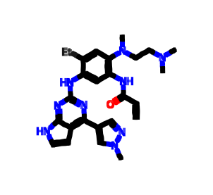 C=CC(=O)Nc1cc(Nc2nc(-c3cnn(C)c3)c3cc[nH]c3n2)c(CC)cc1N(C)CCN(C)C